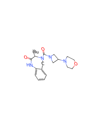 CCC(C)C1C(=O)Nc2ccccc2CN1C(=O)N1CC(N2CCOCC2)C1